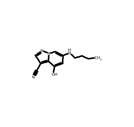 CCCCNc1cc(O)c2c(C#N)cnn2c1